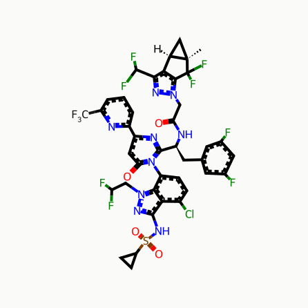 C[C@@]12C[C@@H]1c1c(C(F)F)nn(CC(=O)N[C@@H](Cc3cc(F)cc(F)c3)c3nc(-c4cccc(C(F)(F)F)n4)cc(=O)n3-c3ccc(Cl)c4c(NS(=O)(=O)C5CC5)nn(CC(F)F)c34)c1C2(F)F